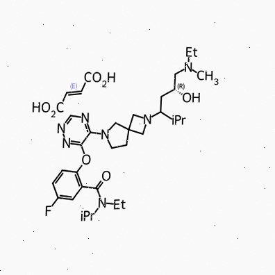 CCN(C)C[C@H](O)CC(C(C)C)N1CC2(CCN(c3ncnnc3Oc3ccc(F)cc3C(=O)N(CC)C(C)C)C2)C1.O=C(O)/C=C/C(=O)O